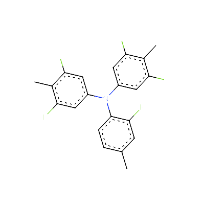 Cc1ccc(N(c2cc(F)c(C)c(F)c2)c2cc(F)c(C)c(F)c2)c(F)c1